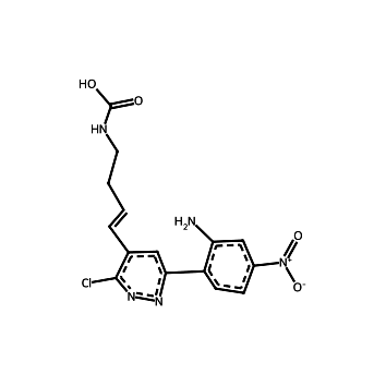 Nc1cc([N+](=O)[O-])ccc1-c1cc(C=CCCNC(=O)O)c(Cl)nn1